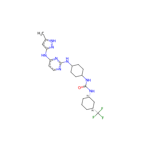 Cc1cc(Nc2ccnc(NC3CCC(NC(=O)N[C@H]4CCC[C@@H](C(F)(F)F)C4)CC3)n2)n[nH]1